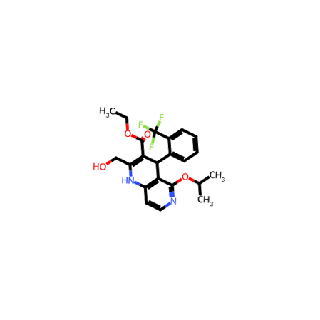 CCOC(=O)C1=C(CO)Nc2ccnc(OC(C)C)c2C1c1ccccc1C(F)(F)F